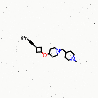 CC(C)C#CC1CC(OC2CCN(CC3CCN(C)CC3)CC2)C1